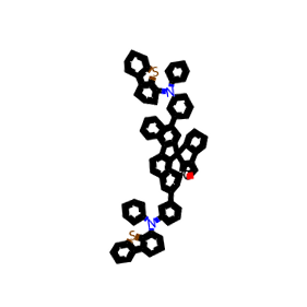 c1ccc(N(c2cccc(-c3ccc4c5c(ccc4c3)-c3c(cc(-c4cccc(N(c6ccccc6)c6cccc7c6sc6ccccc67)c4)c4ccccc34)C53c4ccccc4-c4ccccc43)c2)c2cccc3c2sc2ccccc23)cc1